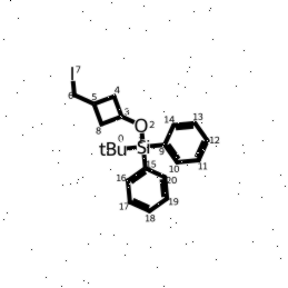 CC(C)(C)[Si](OC1CC(CI)C1)(c1ccccc1)c1ccccc1